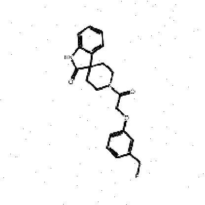 O=C(COc1cccc(CF)c1)N1CCC2(CC1)C(=O)Nc1ccccc12